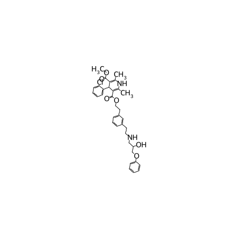 COC(=O)C1=C(C)NC(C)=C(C(=O)OCCc2cccc(CCNCC(O)COc3ccccc3)c2)C1c1ccccc1Cl